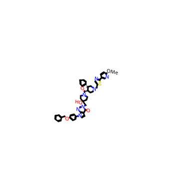 COc1ccc(-c2ncc(CN3CC[C@@H](C(=O)N4CCC(O)(Cn5cnc6c(ccn6-c6ccc(OCc7ccccc7)cc6)c5=O)CC4)[C@H](c4ccccc4)C3)s2)cn1